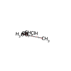 CCCCCCCCCCCCCCCCCCCCOCC(CN(C)C)OC(C)=O.Cl